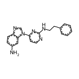 Nc1ccc2ncn(-c3ccnc(NCCc4ccccc4)n3)c2c1